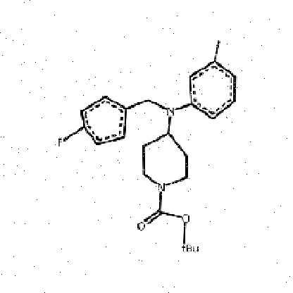 Cc1cccc(N(Cc2ccc(F)cc2)C2CCN(C(=O)OC(C)(C)C)CC2)c1